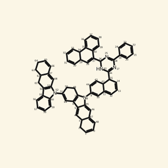 C1=CCC2C=c3c4c(n(C5=CC6=CC=CC(C7=NC(c8ccccc8)=NC(C8=CC9C=CC=CC9c9ccccc98)N7)C6C=C5)c3=CC2=C1)CCC(n1c2c(c3ccccc31)CC1CCC=CC1=C2)=C4